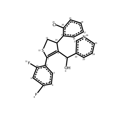 OC(C1=C(c2ccc(F)cc2F)SCC1c1ccccc1Cl)c1cccnc1